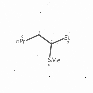 [CH2]CCCC(CC)SC